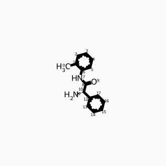 Cc1ccccc1NC(=O)[C@@H](N)c1ccccc1